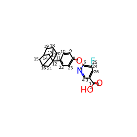 O=C(O)c1cnc(Oc2ccc(C34CC5CC(CC(C5)C3)C4)cc2)c(F)c1